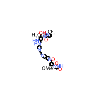 COc1ccc(C(=O)N2CCC3(CCN(CCCN4CCC(N/C=C5/C=C(NC(=O)c6cccc(C(F)(F)F)n6)C(C(C)(C)O)=CC5=N)CC4)CC3)CC2)cc1N1CCC(=O)NC1=O